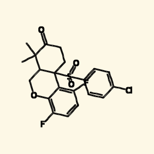 CC1(C)C(=O)CCC2(S(=O)(=O)c3ccc(Cl)cc3)c3c(F)ccc(F)c3OCC12